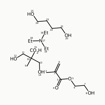 C=C(C)C(=O)OCCO.CC(CO)(CO)C(=O)O.CCN(CC)CC.OCCCCO